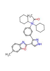 CC(=O)[N+](c1cccc(-c2n[nH]cc2-c2nc3ccc(C)cc3o2)c1)(C1CCCCC1)C1CCCCC1